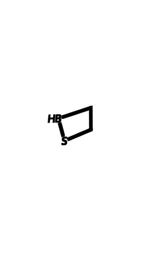 B1CCS1